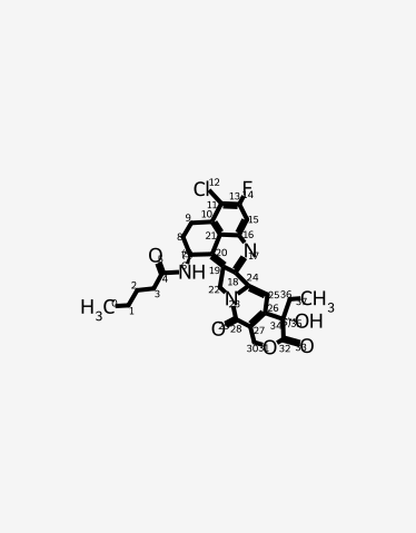 CCCCC(=O)N[C@H]1CCc2c(Cl)c(F)cc3nc4c(c1c23)Cn1c-4cc2c(c1=O)COC(=O)[C@]2(O)CC